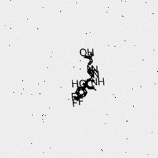 CC(CO)CCn1cc([C@@H]2CC(O)(c3ccc(C(F)(F)F)cc3)C[C@H](C)N2)nn1